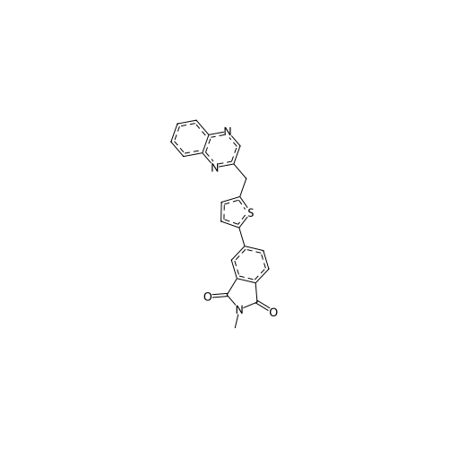 CN1C(=O)c2ccc(-c3ccc(Cc4cnc5ccccc5n4)s3)cc2C1=O